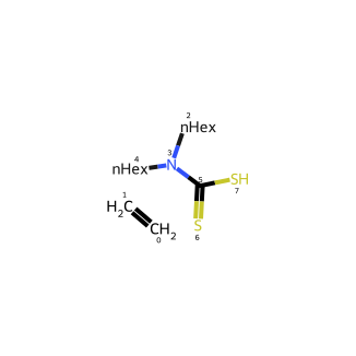 C=C.CCCCCCN(CCCCCC)C(=S)S